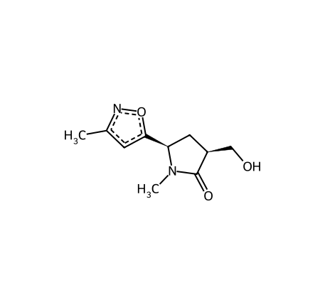 Cc1cc([C@H]2C[C@@H](CO)C(=O)N2C)on1